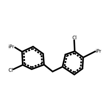 CC(C)c1ccc(Cc2ccc(C(C)C)c(Cl)c2)cc1Cl